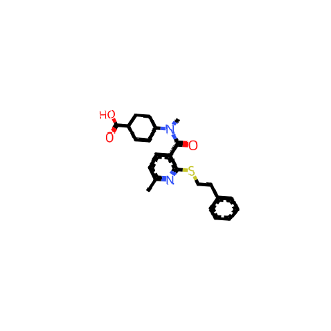 Cc1ccc(C(=O)N(C)C2CCC(C(=O)O)CC2)c(SCCc2ccccc2)n1